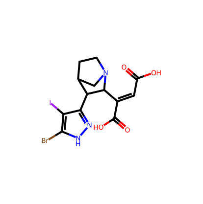 O=C(O)/C=C(/C(=O)O)C1C(c2n[nH]c(Br)c2I)C2CCN1C2